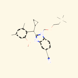 COc1cc(C)cc(C)c1C(c1nc2cc(C#N)ccc2n1COCC[Si](C)(C)C)C1CC1